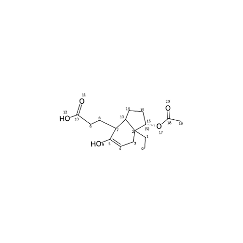 CCC12CC=C(O)C(CCC(=O)O)C1CC[C@@H]2OC(C)=O